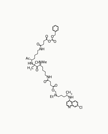 CCN(CCCC(C)Nc1ccnc2cc(Cl)ccc12)COC(=O)CCC(=O)NCCCCC(NC)C(=O)C(C)(C)NC(CCCCNC(=O)CCC(=O)OC(=O)OCc1ccccc1)C(C)=O